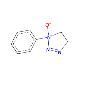 [O-][N+]1(c2ccccc2)CCN=N1